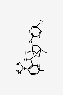 CCc1cnc(O[C@@H]2C[C@H]3C[C@@H]2N(C(=O)c2nc(C)ccc2-n2nccn2)C3)nc1